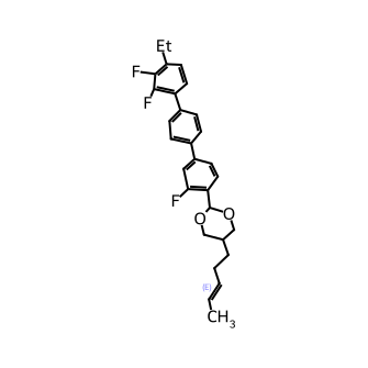 C/C=C/CCC1COC(c2ccc(-c3ccc(-c4ccc(CC)c(F)c4F)cc3)cc2F)OC1